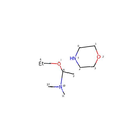 C1COCCN1.CCOC(C)N(C)C